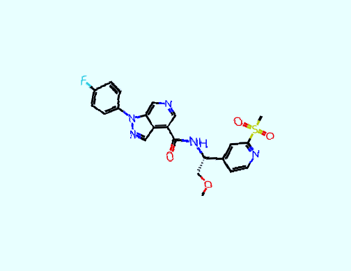 COC[C@H](NC(=O)c1cncc2c1cnn2-c1ccc(F)cc1)c1ccnc(S(C)(=O)=O)c1